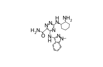 Cn1nc(Nc2nc(N[C@@H]3CCCC[C@@H]3N)nnc2C(N)=O)c2ccccc21